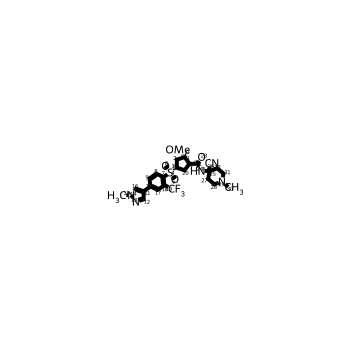 CO[C@H]1C[C@@H](S(=O)(=O)c2ccc(-c3cnn(C)c3)cc2C(F)(F)F)CC1C(=O)NC1(C#N)CCN(C)CC1